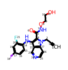 C#CCn1c(C(=O)NOCCO)c(Nc2ccc(I)cc2F)c2cnccc21